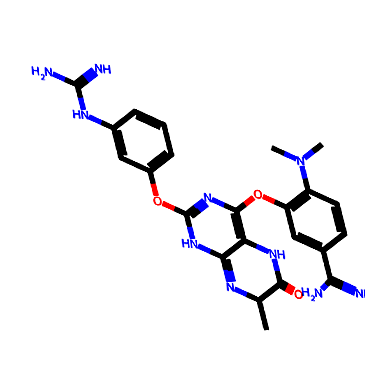 CC1N=C2NC(Oc3cccc(NC(=N)N)c3)=NC(Oc3cc(C(=N)N)ccc3N(C)C)=C2NC1=O